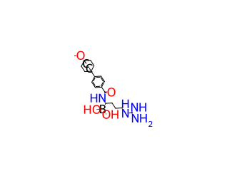 COC12CCC(c3ccc(C(=O)NC(CCCNC(=N)N)B(O)O)cc3)(CC1)CC2